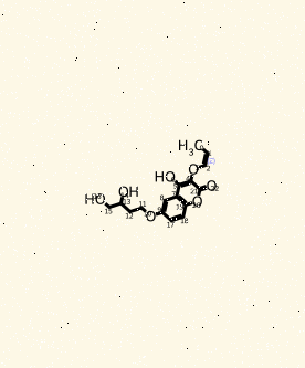 C/C=C\Oc1c(O)c2cc(OCCC(O)CO)ccc2oc1=O